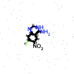 NC1=c2cc([N+](=O)[O-])c(F)cc2=NCN1